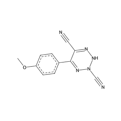 COc1ccc(C2=NN(C#N)NN=C2C#N)cc1